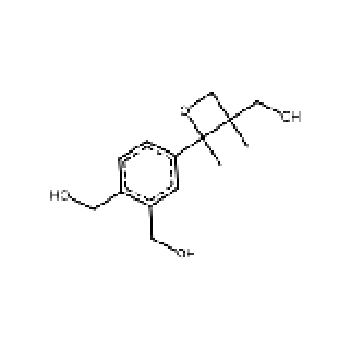 CC1(CO)COC1(C)c1ccc(CO)c(CO)c1